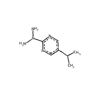 CC(C)c1cnc(N(N)N)nc1